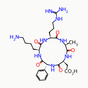 C[C@@H]1NC(=O)[C@H](CCCNC(=N)N)NC(=O)[C@H](CCCCN)NC(=O)[C@@H](c2ccccc2)NC(=O)[C@H](CC(=O)O)NC1=O